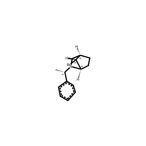 C[C@@H](c1ccccc1)N1C[C@H]2CC[C@@H]1[C@@H]2Br